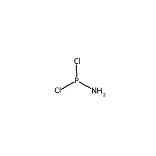 NP(Cl)Cl